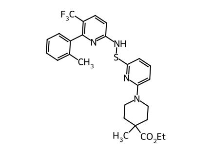 CCOC(=O)C1(C)CCN(c2cccc(SNc3ccc(C(F)(F)F)c(-c4ccccc4C)n3)n2)CC1